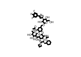 CC(=O)NC1CC(CO[C@H]2OC(CO)[C@@H](O)C(n3cc(-c4cc(F)c(F)c(F)c4)nn3)C2O)C[C@@H](O[C@@H]2OC(CO)[C@H](O)C(O[C@@H](CC3CCCCC3)C(=O)N3CCC3)C2NC(C)=O)C1O[C@@H]1OC(C)[C@@H](O)C(O)C1O